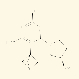 CN[C@@H]1CCN(c2nc(N)nc(N)c2C23CC(C2)C3)C1